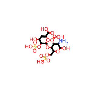 NC1C(O)OC(COS(=O)(=O)O)[C@@H](O[C@@H]2OC(C(=O)O)=C[C@H](O)C2OS(=O)(=O)O)[C@@H]1OOO